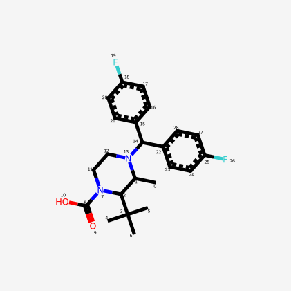 CC1C(C(C)(C)C)N(C(=O)O)CCN1C(c1ccc(F)cc1)c1ccc(F)cc1